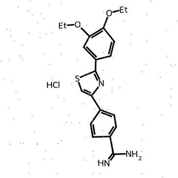 CCOc1ccc(-c2nc(-c3ccc(C(=N)N)cc3)cs2)cc1OCC.Cl